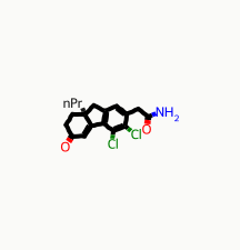 CCCC12CCC(=O)C=C1c1c(cc(CC(N)=O)c(Cl)c1Cl)C2